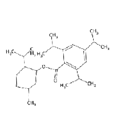 CC1CCC(C(C)C)C(OC(=O)c2c(C(C)C)cc(C(C)C)cc2C(C)C)C1